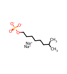 CC(C)CCCCCCOP(=O)([O-])[O-].[Na+].[Na+]